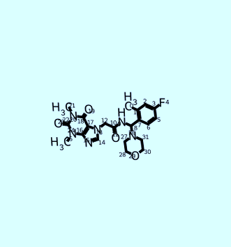 Cc1cc(F)ccc1C(NC(=O)Cn1cnc2c1c(=O)n(C)c(=O)n2C)N1CCOCC1